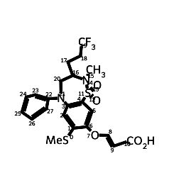 CSc1cc2c(cc1O/C=C/C(=O)O)S(=O)(=O)N(C)C(CCC(F)(F)F)CN2c1ccccc1